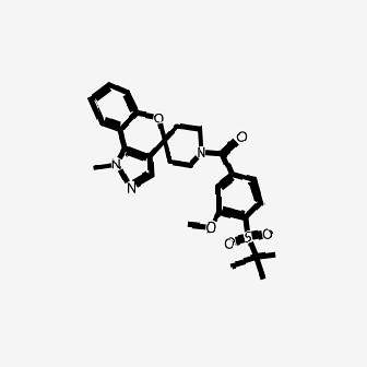 COc1cc(C(=O)N2CCC3(CC2)Oc2ccccc2-c2c3cnn2C)ccc1S(=O)(=O)C(C)(C)C